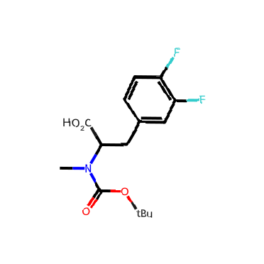 CN(C(=O)OC(C)(C)C)C(Cc1ccc(F)c(F)c1)C(=O)O